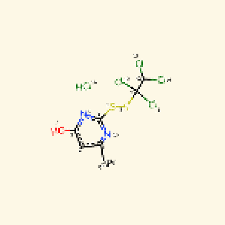 CCCc1cc(O)nc(SSC(Cl)(Cl)C(Cl)Cl)n1.Cl